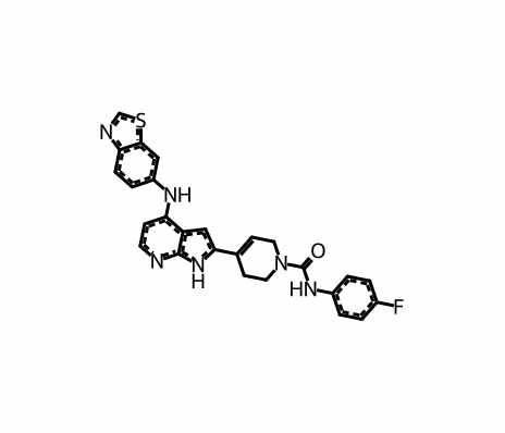 O=C(Nc1ccc(F)cc1)N1CC=C(c2cc3c(Nc4ccc5ncsc5c4)ccnc3[nH]2)CC1